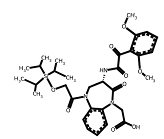 COc1cccc(OC)c1C(=O)C(=O)N[C@H]1CN(C(=O)CO[Si](C(C)C)(C(C)C)C(C)C)c2ccccc2N(CC(=O)O)C1=O